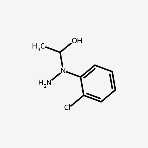 CC(O)N(N)c1ccccc1Cl